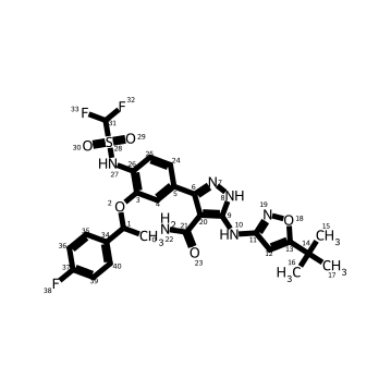 CC(Oc1cc(-c2n[nH]c(Nc3cc(C(C)(C)C)on3)c2C(N)=O)ccc1NS(=O)(=O)C(F)F)c1ccc(F)cc1